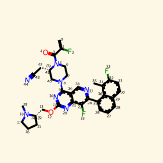 C=C(F)C(=O)N1CCN(c2nc(OC[C@@H]3CCCN3C)nc3c(F)c(-c4cccc5ccc(F)c(C)c45)ncc23)C[C@@H]1CC#N